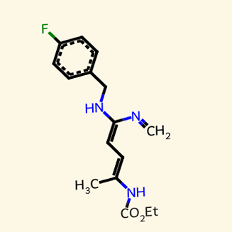 C=N/C(=C\C=C(/C)NC(=O)OCC)NCc1ccc(F)cc1